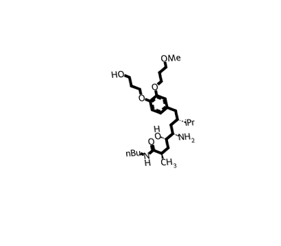 CCCCNC(=O)[C@H](C)C[C@H](O)[C@@H](N)C[C@H](Cc1ccc(OCCCO)c(OCCCOC)c1)C(C)C